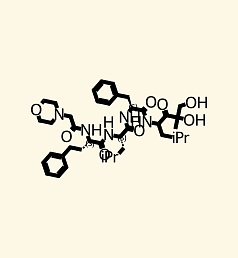 CC(C)CC(NC(=O)[C@H](Cc1ccccc1)NC(=O)[C@H](CC(C)C)NC(=O)[C@H](CCc1ccccc1)NC(=O)CN1CCOCC1)C(=O)C(C)(O)CO